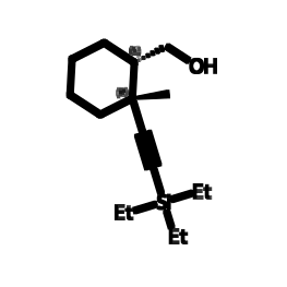 CC[Si](C#C[C@]1(C)CCCC[C@@H]1CO)(CC)CC